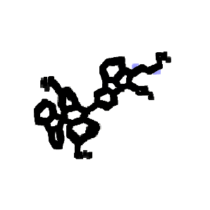 C=c1/c(=C\C=C/C)c2cccc3c4cc(N5c6ccc(C)cc6[Si]6(c7ccccc7-c7ccccc76)c6cc(C)ccc65)ccc4n1c23